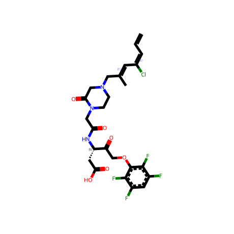 C=C/C=C(Cl)\C=C(/C)CN1CCN(CC(=O)N[C@@H](CC(=O)O)C(=O)COc2c(F)c(F)cc(F)c2F)C(=O)C1